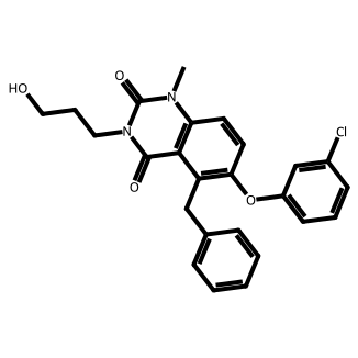 Cn1c(=O)n(CCCO)c(=O)c2c(Cc3ccccc3)c(Oc3cccc(Cl)c3)ccc21